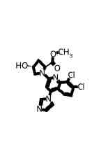 COC(=O)[C@@H]1C[C@@H](O)CN1c1cc(-n2ccnc2)c2ccc(Cl)c(Cl)c2n1